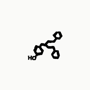 Oc1ccc(C=C(C=Cc2ccccc2)C=Cc2ccccc2)cc1